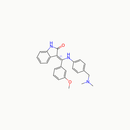 COc1cccc(/C(Nc2ccc(CN(C)C)cc2)=C2/C(=O)Nc3ccccc32)c1